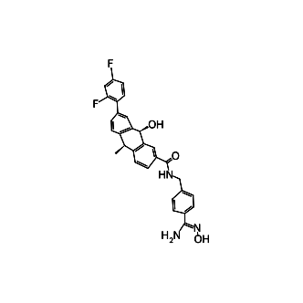 C[C@@H]1c2ccc(C(=O)NCc3ccc(C(N)=NO)cc3)cc2[C@H](O)c2cc(-c3ccc(F)cc3F)ccc21